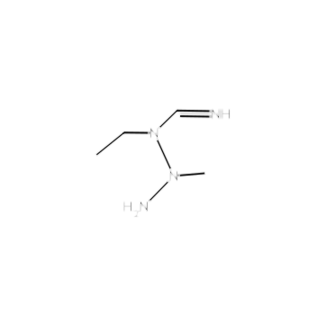 CCN(C=N)N(C)N